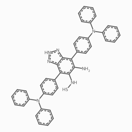 Nc1c(NS)c(-c2ccc(N(c3ccccc3)c3ccccc3)cc2)c2n[nH]nc2c1-c1ccc(N(c2ccccc2)c2ccccc2)cc1